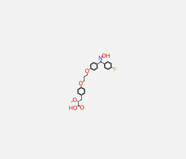 CO[C@@H](Cc1ccc(OCCCOc2ccc(C(=NO)c3ccc(F)cc3)cc2)cc1)C(=O)O